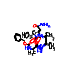 C=C(N[C@@H](CC(N)=O)C(=O)O)[C@H](C)NC(=O)[C@H](C)NC(=O)OCc1ccccc1